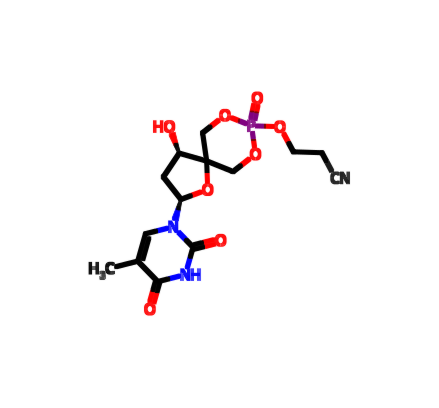 Cc1cn([C@H]2C[C@@H](O)C3(COP(=O)(OCCC#N)OC3)O2)c(=O)[nH]c1=O